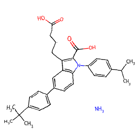 CC(C)c1ccc(-n2c(C(=O)O)c(C[CH]CC(=O)O)c3cc(-c4ccc(C(C)(C)C)cc4)ccc32)cc1.N